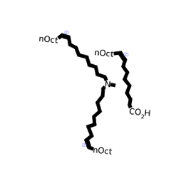 CCCCCCCC/C=C\CCCCCCCC(=O)O.CCCCCCCC/C=C\CCCCCCCCN(C)CCCCCCCC/C=C\CCCCCCCC